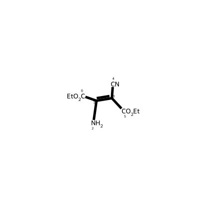 CCOC(=O)/C(N)=C(\C#N)C(=O)OCC